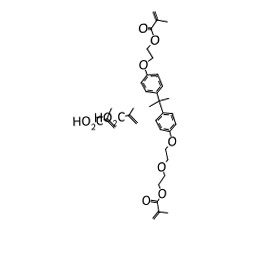 C=C(C)C(=O)O.C=C(C)C(=O)O.C=C(C)C(=O)OCCOCCOc1ccc(C(C)(C)c2ccc(OCCOC(=O)C(=C)C)cc2)cc1